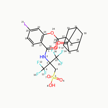 O=C(NC(CS(=O)(=O)O)(C(F)(F)F)C(F)(F)F)c1ccc(I)cc1OC(=O)C12CC3CC(C1)C(=O)C(C3)C2